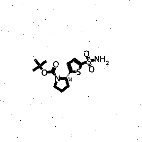 CC(C)(C)OC(=O)N1CCC[C@H]1c1ccc(S(N)(=O)=O)s1